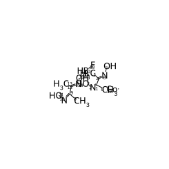 CC(=NO)C(C)=NO.CC(=NO)C(C)=NO.FBF.[Co]